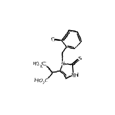 O=C(O)C(C(=O)O)c1c[nH]c(=S)n1Cc1ccccc1Cl